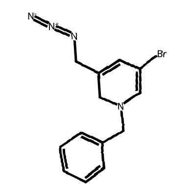 [N-]=[N+]=NCC1=CC(Br)=CN(Cc2ccccc2)C1